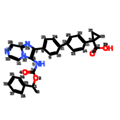 CC(OC(=O)Nc1c(-c2ccc(-c3ccc(C4(C(=O)O)CC4)cc3)cc2)nc2cnccn12)c1ccccc1